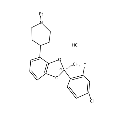 CCN1CCC(c2cccc3c2O[C@@](C)(c2ccc(Cl)cc2F)O3)CC1.Cl